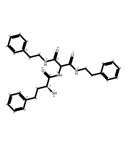 O=C(NCCc1ccccc1)C(NC(=O)[C@@H](S)CCc1ccccc1)C(=O)NCCc1ccccc1